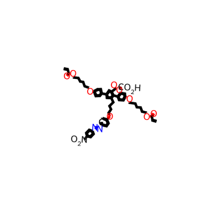 C=CC(=O)OCCCCCCOc1ccc(-c2cc(CCCCOc3ccc(N=Nc4ccc([N+](=O)[O-])cc4)cc3)c(-c3ccc(OCCCCCCOC(=O)C=C)cc3)c(C(=O)OC(=O)O)c2)cc1